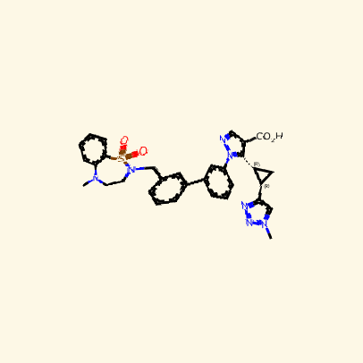 CN1CCN(Cc2cccc(-c3cccc(-n4ncc(C(=O)O)c4[C@@H]4C[C@H]4c4cn(C)nn4)c3)c2)S(=O)(=O)c2ccccc21